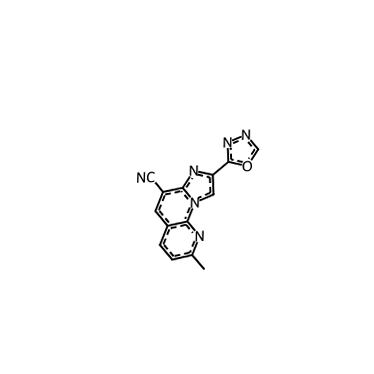 Cc1ccc2cc(C#N)c3nc(-c4nnco4)cn3c2n1